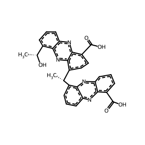 C[C@@H](c1cccc2nc3c(C(=O)O)cccc3nc12)c1ccc(C(=O)O)c2nc3cccc([C@@H](C)O)c3nc12